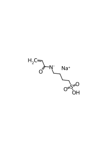 C=CC(=O)[N-]CCCCS(=O)(=O)O.[Na+]